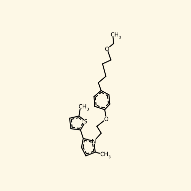 CCOCCCCc1ccc(OCCn2c(C)ccc2-c2ccc(C)s2)cc1